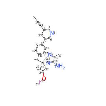 CC#Cc1cncc(-c2ccc3c(c2)[C@@]2(N=C(C)C(N)=N2)[C@]2(CC[C@H](OI)CC2)C3)c1